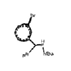 CCCCPC(CCC)c1cccc(Br)c1